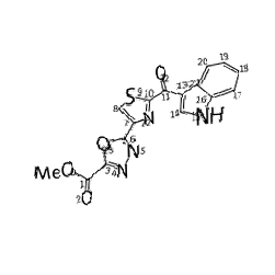 COC(=O)c1nnc(-c2csc(C(=O)c3c[nH]c4ccccc34)n2)o1